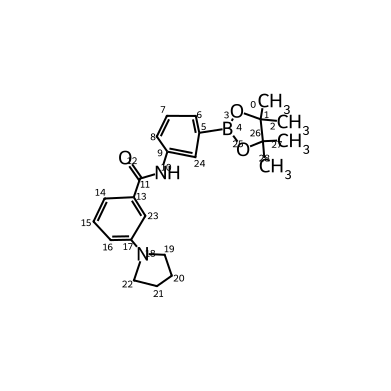 CC1(C)OB(c2cccc(NC(=O)c3cccc(N4CCCC4)c3)c2)OC1(C)C